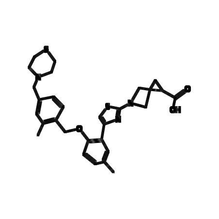 Cc1ccc(OCc2ccc(CN3CCSCC3)cc2C)c(-c2csc(N3CC4(CC4C(=O)O)C3)n2)c1